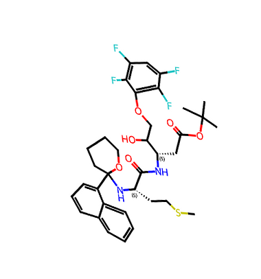 CSCC[C@H](NC1(c2cccc3ccccc23)CCCCO1)C(=O)N[C@@H](CC(=O)OC(C)(C)C)C(O)COc1c(F)c(F)cc(F)c1F